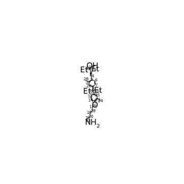 CCC(O)(C#Cc1ccc(C(CC)(CC)c2ccc(OCCCCCN)c(C)c2)cc1C)CC